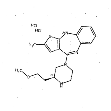 COCC[C@H]1CN(C2=Nc3ccccc3Nc3sc(C)cc32)CCN1.Cl.Cl